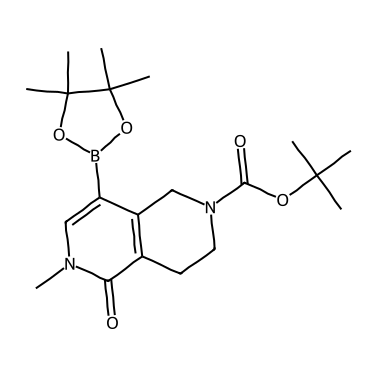 Cn1cc(B2OC(C)(C)C(C)(C)O2)c2c(c1=O)CCN(C(=O)OC(C)(C)C)C2